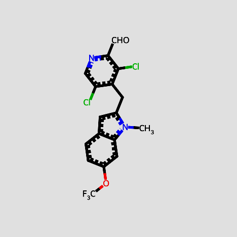 Cn1c(Cc2c(Cl)cnc(C=O)c2Cl)cc2ccc(OC(F)(F)F)cc21